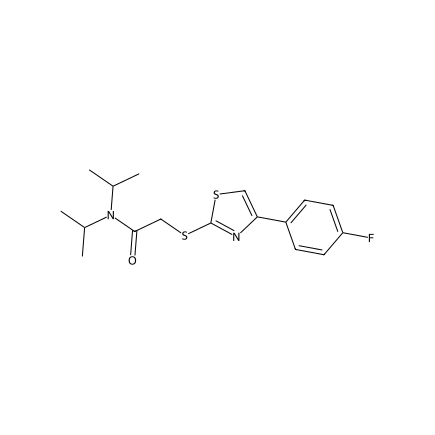 CC(C)N(C(=O)CSc1nc(-c2ccc(F)cc2)cs1)C(C)C